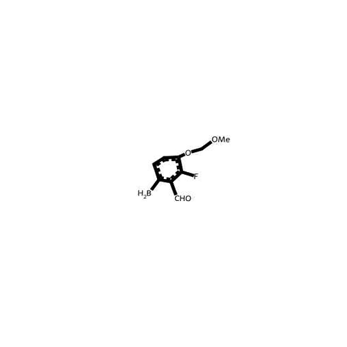 Bc1ccc(OCOC)c(F)c1C=O